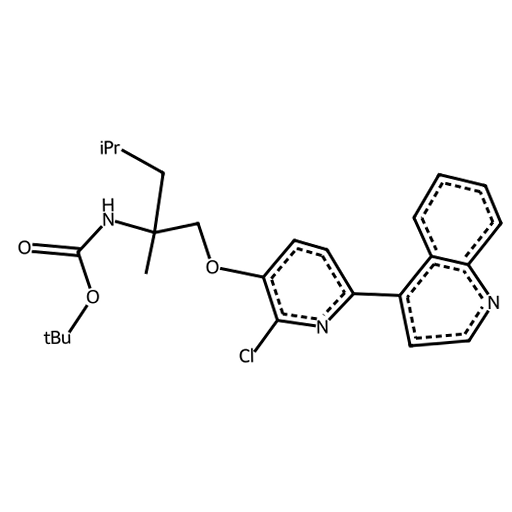 CC(C)CC(C)(COc1ccc(-c2ccnc3ccccc23)nc1Cl)NC(=O)OC(C)(C)C